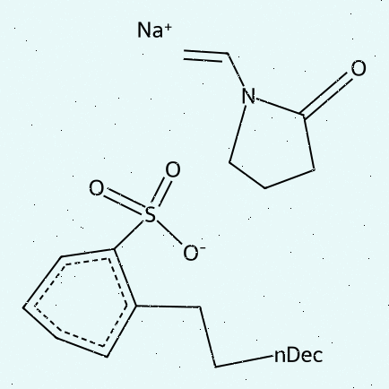 C=CN1CCCC1=O.CCCCCCCCCCCCc1ccccc1S(=O)(=O)[O-].[Na+]